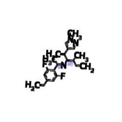 C=C/C(C)=C(\N=C(/C)c1c(F)cc(C=C)cc1F)C(=C)c1cnn(C)c1